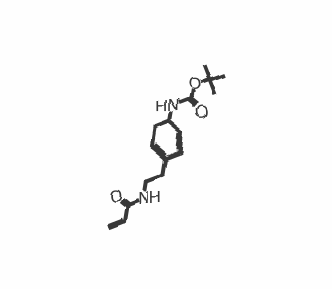 C=CC(=O)NCCC1=CCC(NC(=O)OC(C)(C)C)C=C1